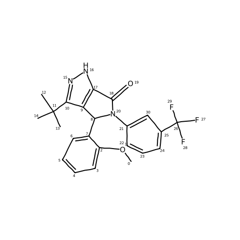 COc1ccccc1C1c2c(C(C)(C)C)n[nH]c2C(=O)N1c1cccc(C(F)(F)F)c1